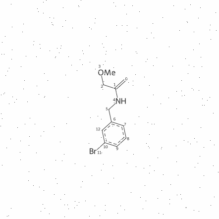 C=C(COC)NCc1cccc(Br)c1